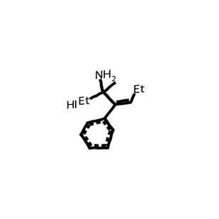 CCC=C(c1ccccc1)C(C)(N)CC.I